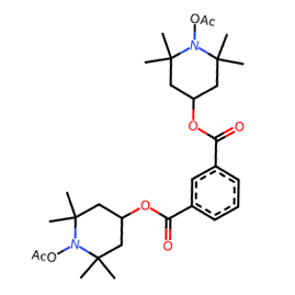 CC(=O)ON1C(C)(C)CC(OC(=O)c2cccc(C(=O)OC3CC(C)(C)N(OC(C)=O)C(C)(C)C3)c2)CC1(C)C